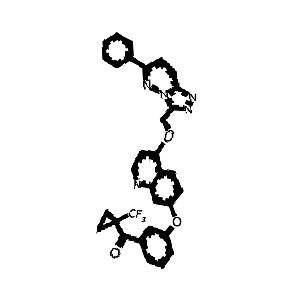 O=C(c1cccc(Oc2ccc3c(OCc4nnc5ccc(-c6ccccc6)nn45)ccnc3c2)c1)C1(C(F)(F)F)CC1